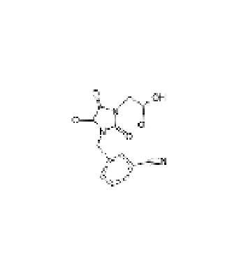 N#Cc1cccc(CN2C(=O)C(=O)N(CC(=O)O)C2=O)c1